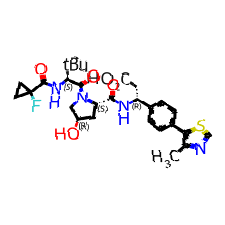 Cc1ncsc1-c1ccc([C@@H](CC(=O)O)NC(=O)[C@@H]2C[C@@H](O)CN2C(=O)[C@@H](NC(=O)C2(F)CC2)C(C)(C)C)cc1